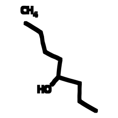 C.CCCCC(O)CCC